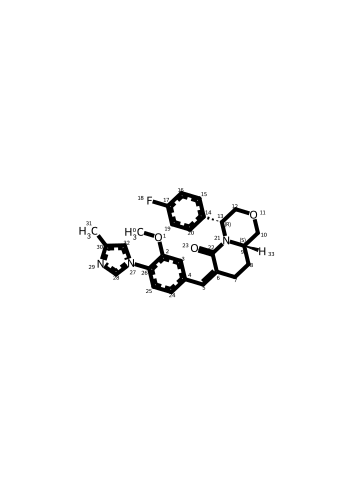 COc1cc(C=C2CC[C@H]3COC[C@@H](c4ccc(F)cc4)N3C2=O)ccc1-n1cnc(C)c1